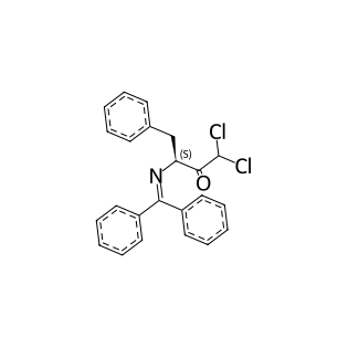 O=C(C(Cl)Cl)[C@H](Cc1ccccc1)N=C(c1ccccc1)c1ccccc1